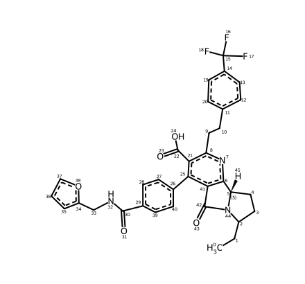 CCC1CC[C@H]2c3nc(CCc4ccc(C(F)(F)F)cc4)c(C(=O)O)c(-c4ccc(C(=O)NCc5ccco5)cc4)c3C(=O)N12